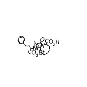 CCOC(=O)C(CCc1ccccc1)N[C@@H](C)C(=O)N1CCCCCCC1C(=O)O